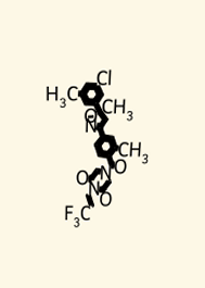 Cc1cc(Cl)cc(C2(C)CC(c3ccc(C(=O)N4CC(=O)N(CCC(F)(F)F)C(=O)C4)c(C)c3)=NO2)c1